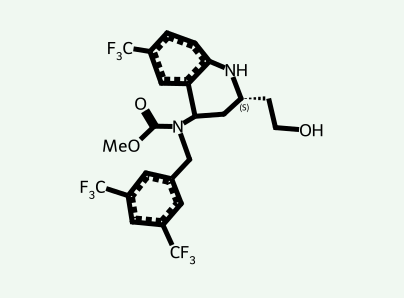 COC(=O)N(Cc1cc(C(F)(F)F)cc(C(F)(F)F)c1)C1C[C@@H](CCO)Nc2ccc(C(F)(F)F)cc21